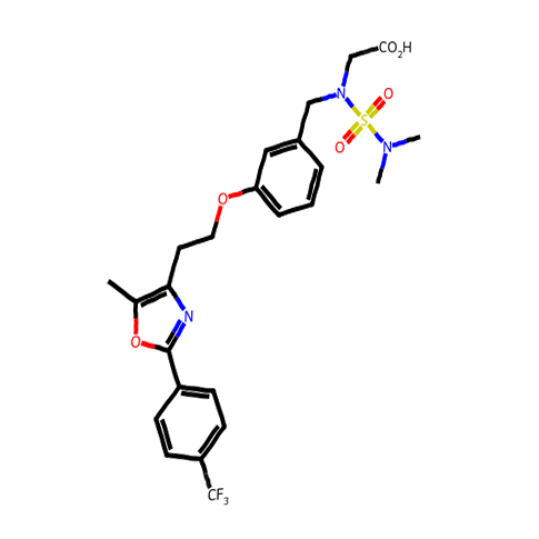 Cc1oc(-c2ccc(C(F)(F)F)cc2)nc1CCOc1cccc(CN(CC(=O)O)S(=O)(=O)N(C)C)c1